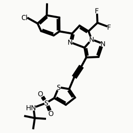 Cc1cc(-c2cc(C(F)F)n3ncc(C#Cc4ccc(S(=O)(=O)NC(C)(C)C)s4)c3n2)ccc1Cl